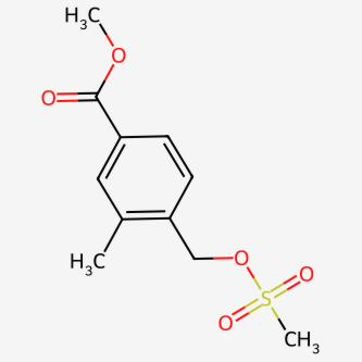 COC(=O)c1ccc(COS(C)(=O)=O)c(C)c1